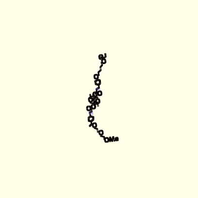 C=CC(=O)OCCCCCCOc1ccc(/C=C/C(=O)O[C@@H]2CO[C@@H]3C(OC(=O)/C=C/c4ccc(C(=C)OCCCOCCCOC)cc4)CO[C@@H]32)cc1